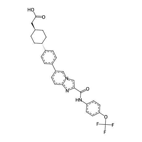 O=C(O)C[C@H]1CC[C@H](c2ccc(-c3ccc4nc(C(=O)Nc5ccc(OC(F)(F)F)cc5)cn4c3)cc2)CC1